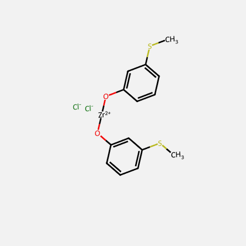 CSc1cccc([O][Zr+2][O]c2cccc(SC)c2)c1.[Cl-].[Cl-]